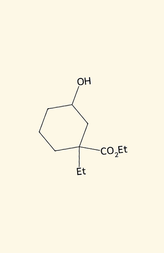 CCOC(=O)C1(CC)CCCC(O)C1